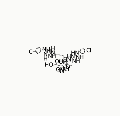 N=C(NCCCCCCNC(=N)NC(=N)Nc1ccc(Cl)cc1)NC(=N)Nc1ccc(Cl)cc1.O=C([O-])[C@H](O)[C@@H](O)[C@H](O)[C@H](O)CO.[Na+]